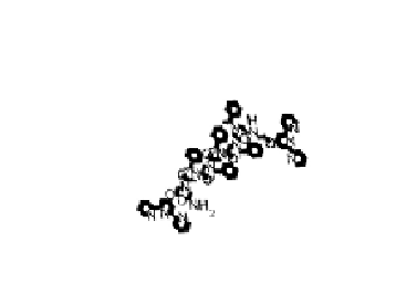 C[C@@H](c1ccccc1)N(CCNCCOc1cc(-c2ccccn2)nc(-c2ccccn2)c1)CC(=O)N(CC(=O)N(CC(=O)N(CC(=O)N(CC(=O)N(CCOc1cc(-c2ccccn2)nc(-c2ccccn2)c1)CC(N)=O)[C@@H](C)c1ccccc1)[C@@H](C)c1ccccc1)[C@@H](C)c1ccccc1)[C@@H](C)c1ccccc1